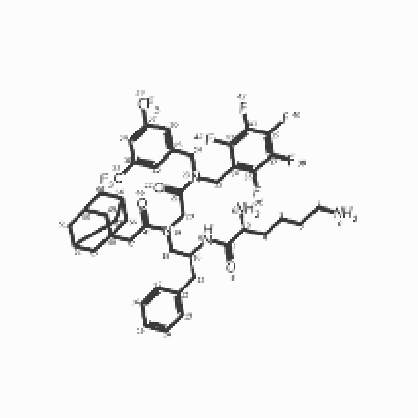 NCCCC[C@H](N)C(=O)N[C@@H](Cc1ccccc1)CN(CC(=O)N(Cc1cc(C(F)(F)F)cc(C(F)(F)F)c1)Cc1c(F)c(F)c(F)c(F)c1F)C(=O)CC12CC3CC(CC(C3)C1)C2